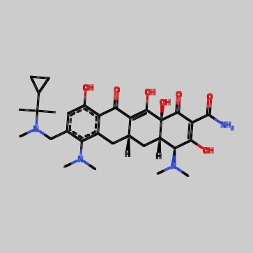 CN(C)c1c(CN(C)C(C)(C)C2CC2)cc(O)c2c1C[C@H]1C[C@H]3[C@H](N(C)C)C(O)=C(C(N)=O)C(=O)[C@@]3(O)C(O)=C1C2=O